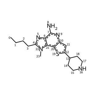 CCCCc1nc2c(N)nc3cc(C4CCNCC4)sc3c2n1C